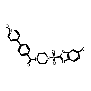 O=C(c1ccc(-c2cc[n+]([O-])cc2)cc1)N1CCN(S(=O)(=O)c2nc3ccc(Cl)cc3s2)CC1